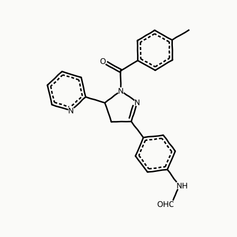 Cc1ccc(C(=O)N2N=C(c3ccc(NC=O)cc3)CC2c2ccccn2)cc1